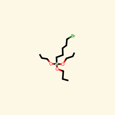 CCCO[Si](CCCCCBr)(OCCC)OCCC